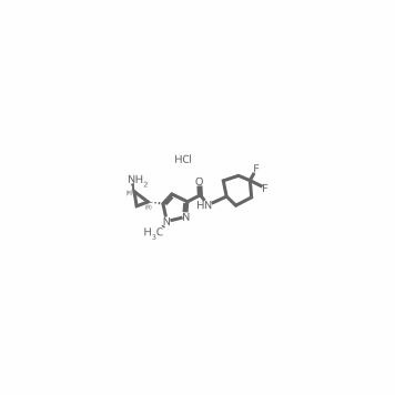 Cl.Cn1nc(C(=O)NC2CCC(F)(F)CC2)cc1[C@@H]1C[C@H]1N